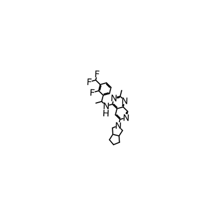 Cc1nc(NC(C)c2cccc(C(F)F)c2F)c2cc(N3CC4CCCC4C3)ncc2n1